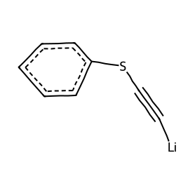 [Li][C]#CSc1ccccc1